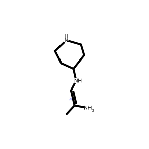 C/C(N)=C/NC1CCNCC1